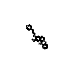 COc1cc2c(Nc3ncccc3C)ncnc2cc1OCCCN1CCOCC1